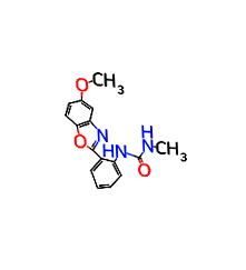 CNC(=O)Nc1ccccc1-c1nc2cc(OC)ccc2o1